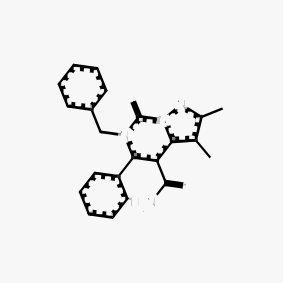 Cc1nn2c(=O)n(Cc3ccccc3)c(-c3ccccc3)c(C(N)=O)c2c1C